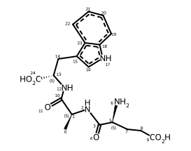 C[C@H](NC(=O)[C@@H](N)CCC(=O)O)C(=O)N[C@@H](Cc1c[nH]c2ccccc12)C(=O)O